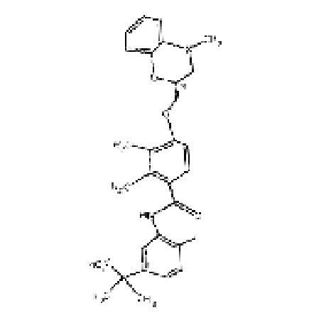 Cc1c(OC[C@@H]2CN(C)c3ccccc3O2)ccc(C(=O)Nc2cc(C(C)(C)C(=O)O)ccc2F)c1C